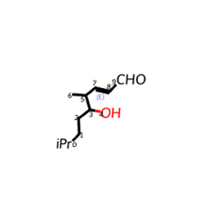 CC(C)CCC(O)C(C)/C=C/C=O